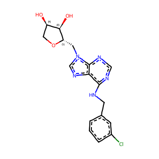 O[C@@H]1[C@H](O)CO[C@H]1Cn1cnc2c(NCc3cccc(Cl)c3)ncnc21